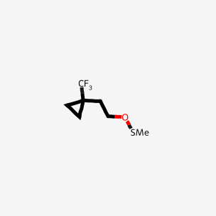 CSOCCC1(C(F)(F)F)CC1